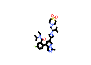 CCN(C(=O)c1cc(F)ccc1-c1cc(C2CN([C@@H](CN3CCS(=O)(=O)CC3)C(C)C)C2)cn2c(C)ncc12)C(C)C